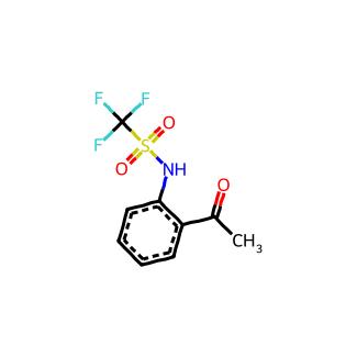 CC(=O)c1ccccc1NS(=O)(=O)C(F)(F)F